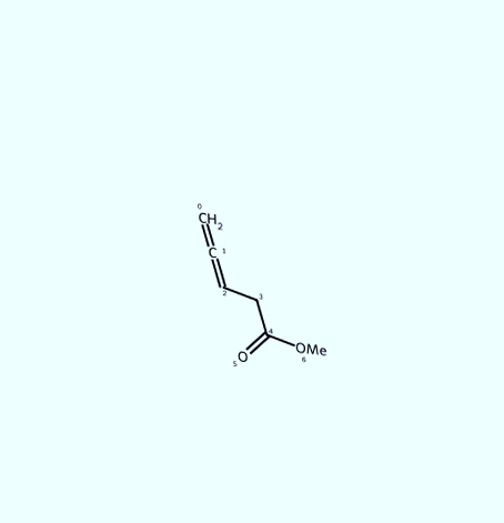 C=C=CCC(=O)OC